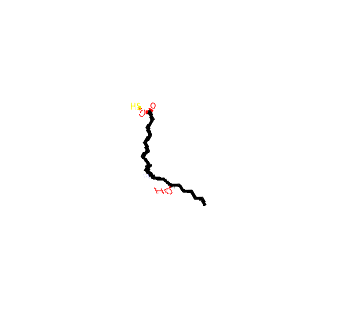 CCCCCC[C@@H](O)C/C=C\CCCCCCCC(=O)OS